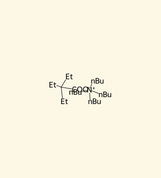 CCC(CC)(CC)C(=O)[O-].CCCC[N+](CCCC)(CCCC)CCCC